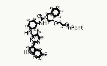 CCCCCOCCOCCN(Cc1ccccc1)C(=O)N[C@@H]1CCC[C@H](Nc2nc(-c3c[nH]c4ncc(F)cc34)ncc2F)C1